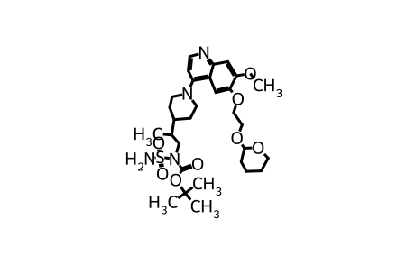 COc1cc2nccc(N3CCC(C(C)CN(C(=O)OC(C)(C)C)S(N)(=O)=O)CC3)c2cc1OCCOC1CCCCO1